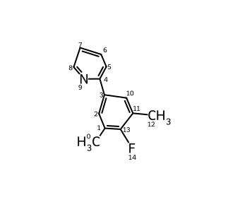 Cc1cc(-c2ccccn2)cc(C)c1F